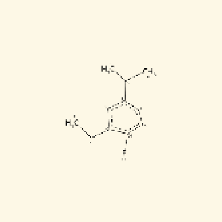 CCc1cc(C(C)C)ccc1F